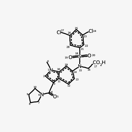 Cn1cc(C(=O)N2CCCC2)c2ccc(N(CC(=O)O)S(=O)(=O)c3cc(Cl)cc(Cl)c3)cc21